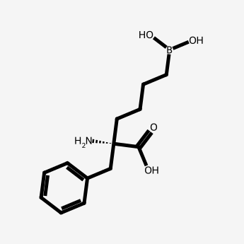 N[C@@](CCCCB(O)O)(Cc1ccccc1)C(=O)O